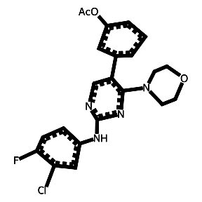 CC(=O)Oc1cccc(-c2cnc(Nc3ccc(F)c(Cl)c3)nc2N2CCOCC2)c1